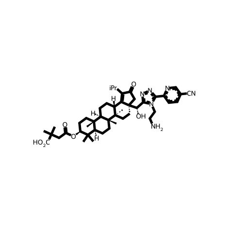 CC(C)C1=C2[C@H]3CC[C@@H]4[C@@]5(C)CC[C@H](OC(=O)CC(C)(C)C(=O)O)C(C)(C)[C@@H]5CC[C@@]4(C)[C@]3(C)CC[C@@]2([C@@H](O)c2nnc(-c3ccc(C#N)cn3)n2CCN)CC1=O